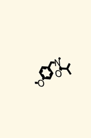 COc1ccc(CN(C)C(=O)C(C)C)cc1